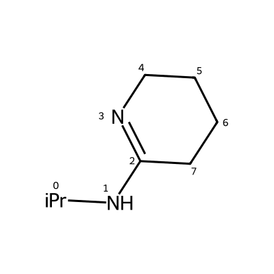 CC(C)NC1=NCCCC1